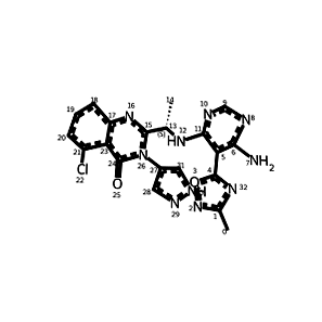 Cc1noc(-c2c(N)ncnc2N[C@@H](C)c2nc3cccc(Cl)c3c(=O)n2-c2cn[nH]c2)n1